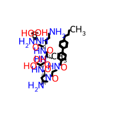 CCCCc1ccc(-c2ccc(C(=O)NCCC(=O)N3C[C@@H](N)C[C@H]3C(=O)N[C@H](C(=O)N[C@@H](CC)C(=O)N[C@@H](CCCCN)C(=O)N[C@@H](N)B(O)O)C(O)O)cc2)cc1